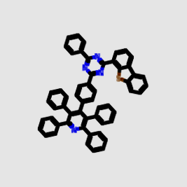 c1ccc(-c2nc(-c3ccc(-c4c(-c5ccccc5)c(-c5ccccc5)nc(-c5ccccc5)c4-c4ccccc4)cc3)nc(-c3cccc4c3sc3ccccc34)n2)cc1